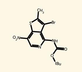 Cc1sc2c([N+](=O)[O-])cnc(NC(=O)OC(C)(C)C)c2c1Br